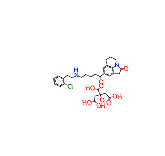 O=C(CCCCNCCc1ccccc1Cl)c1cc2c3c(c1)CC(=O)N3CCC2.O=C(O)CC(O)(CC(=O)O)C(=O)O